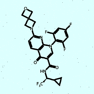 O=C(N[C@@H](C1CC1)C(F)(F)F)c1cn(-c2c(F)cc(F)cc2F)c2nc(N3CC4(COC4)C3)ccc2c1=O